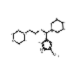 Cc1cc(C(OCCN2CCOCC2)C2CCCCC2)n[nH]1